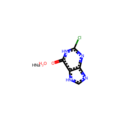 O.O=c1[nH]c(Cl)nc2nc[nH]c12.[NaH]